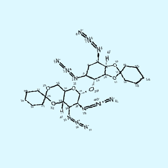 [N-]=[N+]=NC1C[C@@H](N=[N+]=[N-])[C@H]2OC3(CCCCC3)OC2[C@@H]1O[C@H]1OC2COC3(CCCCC3)O[C@H]2C(N=[N+]=[N-])[C@@H]1N=[N+]=[N-]